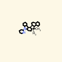 CC1(C)c2ccc3c(c2-c2ccc4ccccc4c21)c1ccccc1n3-c1ccccn1